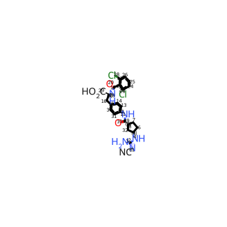 N#C/N=C(\N)N[C@@H]1CC[C@@H](C(=O)Nc2ccc(C[C@H](NC(=O)c3c(Cl)cccc3Cl)C(=O)O)cc2)C1